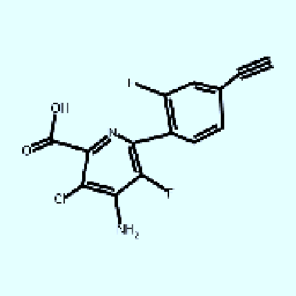 C#Cc1ccc(-c2nc(C(=O)O)c(Cl)c(N)c2F)c(F)c1